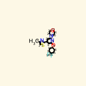 Cc1csc(-c2cc(OC3CCC(F)(F)CC3)nc(N3CCOCC3)c2)n1